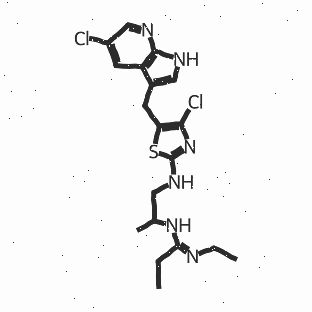 CC/N=C(/CC)NC(C)CNc1nc(Cl)c(Cc2c[nH]c3ncc(Cl)cc23)s1